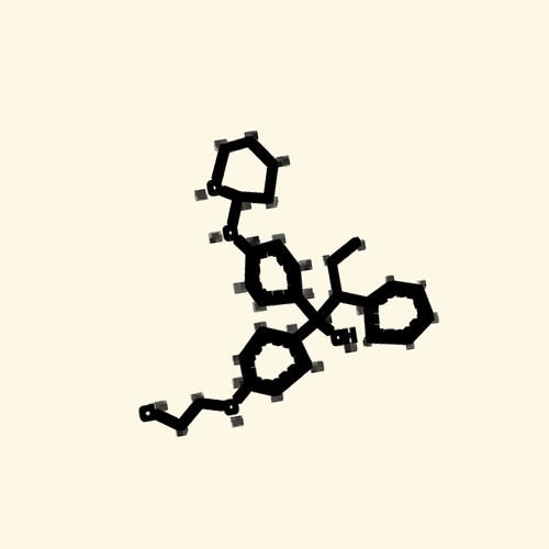 CCC(c1ccccc1)C(O)(c1ccc(OCCCl)cc1)c1ccc(OC2CCCCO2)cc1